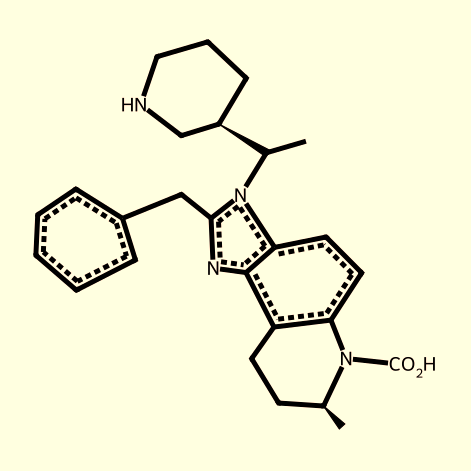 CC([C@@H]1CCCNC1)n1c(Cc2ccccc2)nc2c3c(ccc21)N(C(=O)O)[C@@H](C)CC3